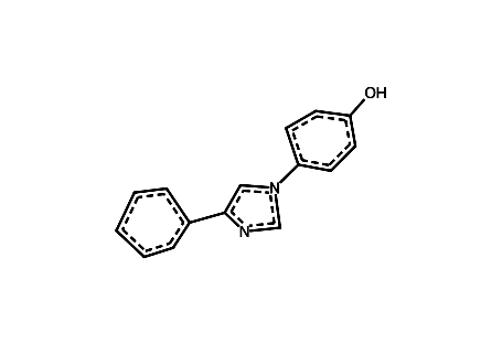 Oc1ccc(-n2cnc(-c3ccccc3)c2)cc1